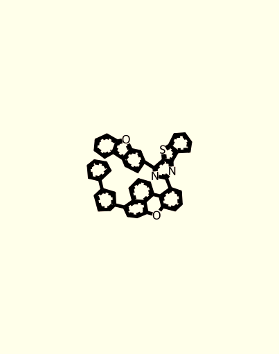 c1ccc(-c2cccc(-c3ccc4c5c(cccc35)-c3c(cccc3-c3nc(-c5ccc6c(c5)oc5ccccc56)c5sc6ccccc6c5n3)O4)c2)cc1